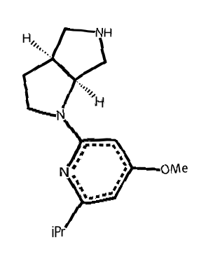 COc1cc(C(C)C)nc(N2CC[C@H]3CNC[C@H]32)c1